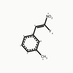 Cc1cccc(C=C(F)[N+](=O)[O-])c1